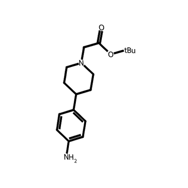 CC(C)(C)OC(=O)CN1CCC(c2ccc(N)cc2)CC1